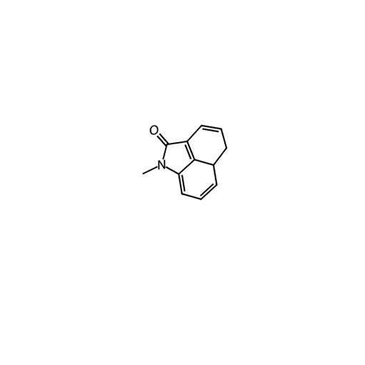 CN1C(=O)C2=C3C1=CC=CC3CC=C2